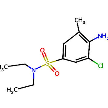 CCN(CC)S(=O)(=O)c1cc(C)c(N)c(Cl)c1